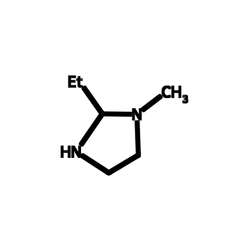 CCC1NCCN1C